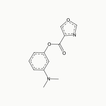 CN(C)c1cccc(OC(=O)c2cocn2)c1